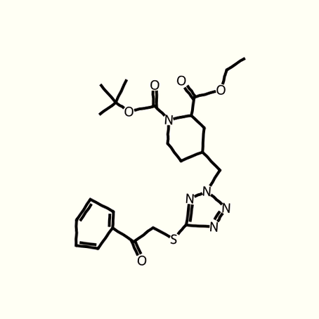 CCOC(=O)C1CC(Cn2nnc(SCC(=O)c3ccccc3)n2)CCN1C(=O)OC(C)(C)C